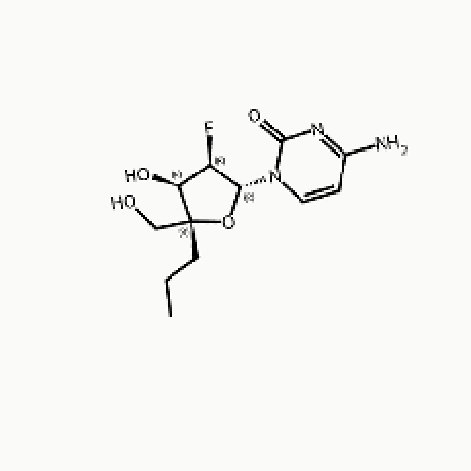 CCC[C@]1(CO)O[C@@H](n2ccc(N)nc2=O)[C@H](F)[C@@H]1O